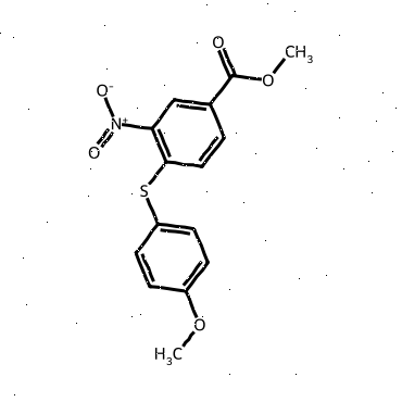 COC(=O)c1ccc(Sc2ccc(OC)cc2)c([N+](=O)[O-])c1